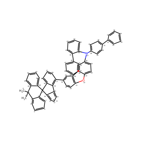 CC1(C)c2ccccc2C2(c3ccccc3-c3c(-c4ccc5oc6ccc(N(c7ccc(-c8ccccc8)cc7)c7ccccc7-c7ccccc7)cc6c5c4)cccc32)c2ccccc21